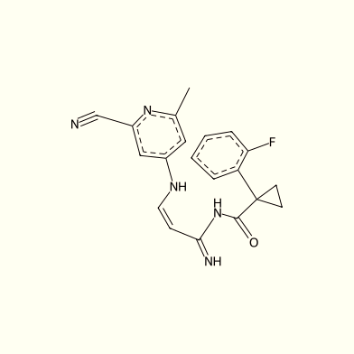 Cc1cc(N/C=C\C(=N)NC(=O)C2(c3ccccc3F)CC2)cc(C#N)n1